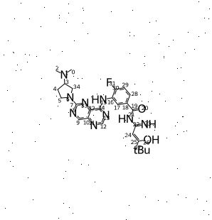 CN(C)C1CCN(c2ncc3ncnc(Nc4cc(C(=O)NC(=N)/C=C(\O)C(C)(C)C)ccc4F)c3n2)C1